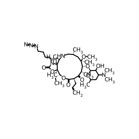 C=CC[C@H]1C(=O)O[C@H](CC)[C@@]2(C)OC(=O)N(CCCCN=[N+]=[N-])[C@@H]2[C@@H](C)NC[C@H](C)C[C@@](C)(OC)[C@H](O[C@@H]2OC(C)CC(N(C)C)C2O)[C@H](C)C1=O